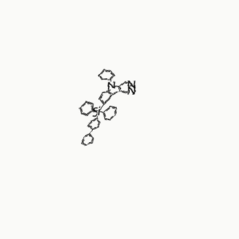 c1ccc(-c2ccc([Si](c3ccccc3)(c3ccccc3)c3ccc4c(c3)c3cnncc3n4-c3ccccc3)cc2)cc1